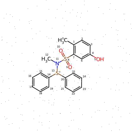 Cc1ccc(O)cc1S(=O)(=O)N(C)[S+](c1ccccc1)c1ccccc1